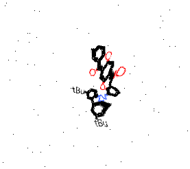 CC(C)(C)c1ccc2c(c1)c1cc(C(C)(C)C)ccc1n2-c1cccc2c(=O)c3cc4oc5ccccc5c(=O)c4cc3oc12